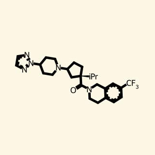 CC(C)[C@]1(C(=O)N2CCc3ccc(C(F)(F)F)cc3C2)CCC(N2CCC(n3nccn3)CC2)C1